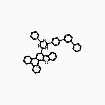 c1ccc(-c2cccc(-c3ccc(-c4nc(-c5ccccc5)nc(-c5cc6c7ccccc7c7ccccc7c6c6oc7ccccc7c56)n4)cc3)c2)cc1